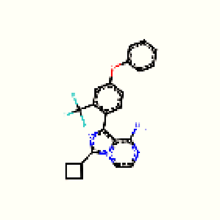 Nc1nccn2c(C3CCC3)nc(-c3ccc(Oc4ccccc4)cc3C(F)(F)F)c12